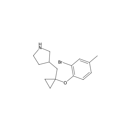 Cc1ccc(OC2(CC3CCNC3)CC2)c(Br)c1